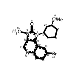 CO[C@H]1CCC[C@@H](n2c(=O)n(C)c3cnc4ccc(Br)cc4c32)C1